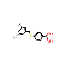 OB(O)c1ccc(SCc2cc(C(F)(F)F)cc(C(F)(F)F)c2)cc1